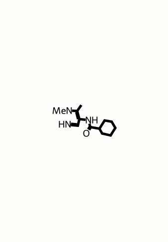 CN/C(C)=C(\C=N)NC(=O)C1CCCCC1